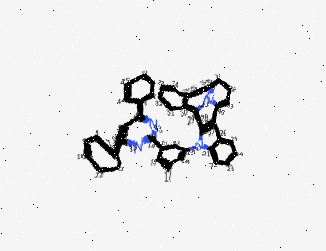 C1=CCC(c2cc(-c3ccccc3)nc(-c3cccc(-n4c5ccccc5c5c4c4c6ccccc6c6cccc5n64)c3)n2)C=C1